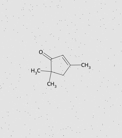 CC1=CC(=O)C(C)(C)C1